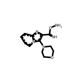 N=C(ON)c1nc2ccccn2c1N1CCOCC1